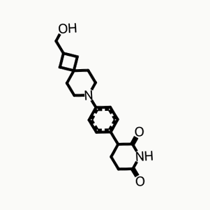 O=C1CCC(c2ccc(N3CCC4(CC3)CC(CO)C4)cc2)C(=O)N1